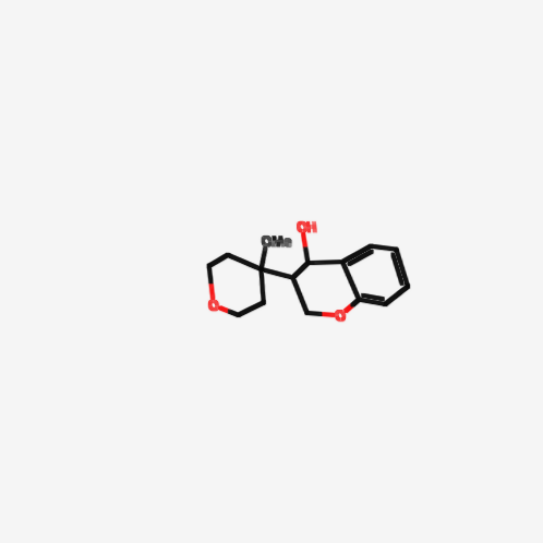 COC1(C2COc3ccccc3C2O)CCOCC1